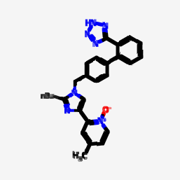 CCCCc1nc(-c2cc(C)cc[n+]2[O-])cn1Cc1ccc(-c2ccccc2-c2nn[nH]n2)cc1